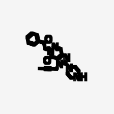 CC#CCn1c(N2CCNCC2)nc2cnn(CC(=O)c3ccccc3)c(=O)c21